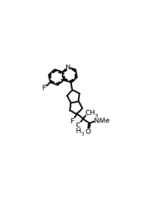 CNC(=O)C(C)(C)C1(F)CC2CC(c3ccnc4ccc(F)cc34)CC2C1